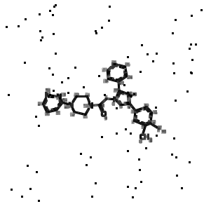 Cc1cc(-c2cn(CC(=O)N3CCN(c4cccnn4)CC3)c(-c3ccccc3)n2)ccc1F